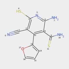 N#Cc1c(S)nc(N)c(C(N)=S)c1-c1ccco1